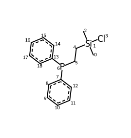 C[Si](C)(Cl)CCP(c1ccccc1)c1ccccc1